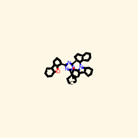 c1ccc(-c2nc(-c3ccc4ccccc4c3-n3c4ccccc4c4ccccc43)nc(-c3cccc4c3oc3ccccc34)n2)cc1